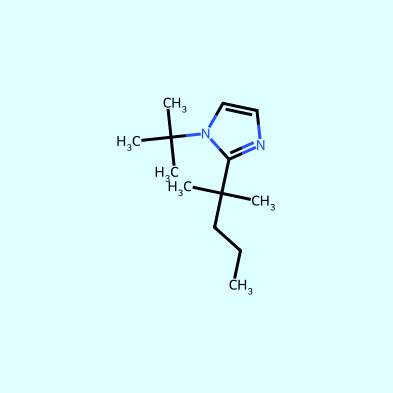 CCCC(C)(C)c1nccn1C(C)(C)C